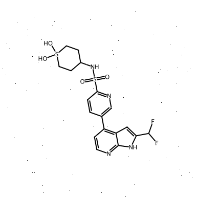 O=S(=O)(NC1CCS(O)(O)CC1)c1ccc(-c2ccnc3[nH]c(C(F)F)cc23)cn1